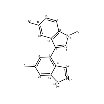 Cc1cc(-c2nn(C)c3ccc(C)cc23)c2cn[nH]c2c1